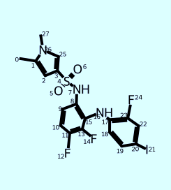 Cc1cc(S(=O)(=O)Nc2ccc(F)c(F)c2Nc2ccc(I)cc2F)cn1C